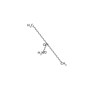 CCCCCCCCCCCCCCCCCCN(CCCCCCCCCCCCCCCCCC)C(=O)CCCCC(N)=O